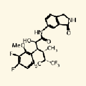 COc1c([C@H]([C@H](C)[C@@H](C)C(F)(F)F)[C@@H](O)C(=O)Nc2ccc3c(c2)C(=O)NC3)ccc(F)c1F